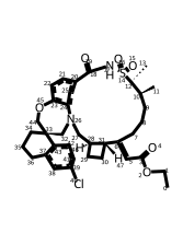 CCOC(=O)/C=C1\CCC[C@H](C)[C@@H](C)S(=O)(=O)NC(=O)c2ccc3c(c2)N(C[C@@H]2CC[C@@H]12)C[C@@]1(CCCc2cc(Cl)ccc21)CO3